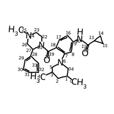 CC1CC(C)CN(c2cc(NC(=O)C3CC3)ccc2C(=O)N2CCN(C)CC2c2ccccc2)C1